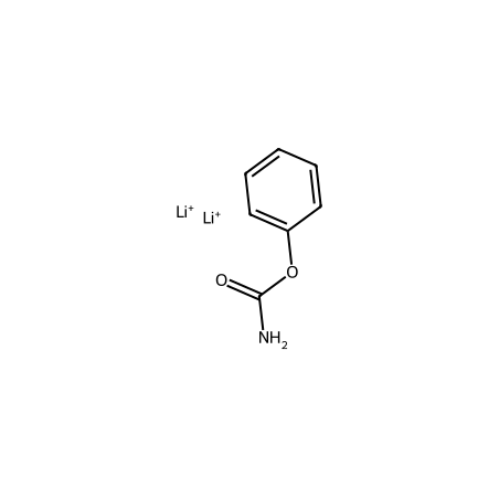 NC(=O)Oc1ccccc1.[Li+].[Li+]